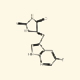 O=C1NC(=S)NC1=Cc1c[nH]c2ncc(F)cc12